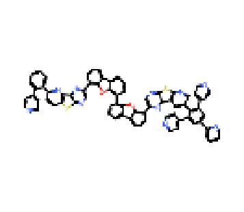 c1ccc(-c2cc(-c3ccncc3)c(-c3cnc4sc5ncc(-c6cccc7c6oc6c(-c8cccc9c8oc8c(-c%10cnc%11sc%12ccc(-c%13ccccc%13-c%13ccncc%13)nc%12c%11n%10)cccc89)cccc67)nc5c4c3)c(-c3ccncc3)c2)nc1